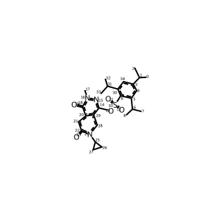 CC(C)c1cc(C(C)C)c(S(=O)(=O)Oc2nn(C)c(=O)c3cc(=O)n(C4CC4)cc23)c(C(C)C)c1